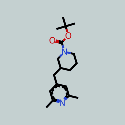 Cc1cc(CC2CCCN(C(=O)OC(C)(C)C)C2)cc(C)n1